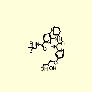 CC(F)(F)CNC(=O)c1ccc2c(n1)N(C(=O)Nc1cc(OCC(O)CO)ccn1)[C@H]1CCCN2C1